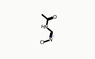 CC(=O)N/C=N\Cl